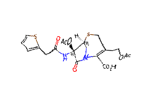 CC(=O)OCC1=C(C(=O)O)N2C(=O)[C@@](NC(=O)Cc3cccs3)(OC(C)=O)[C@H]2SC1